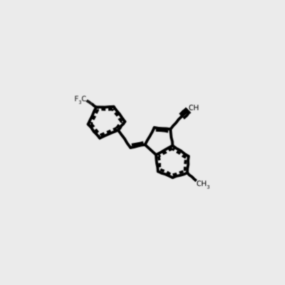 C#CC1=CC(=Cc2ccc(C(F)(F)F)cc2)c2ccc(C)cc21